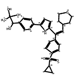 CC(C)(O)C(O)c1ccc(-c2ccc(/C(=C\C3CCOCC3)c3ccc(S(=O)(=O)C4CC4)cc3)[nH]2)nc1